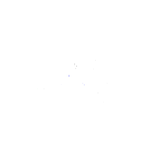 Cc1cc(C(F)(F)F)nc2c1CN(S(=O)(=O)c1ccc(C(C)(C)C)cc1)c1ccccc1N2